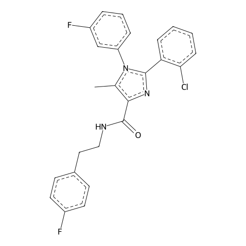 Cc1c(C(=O)NCCc2ccc(F)cc2)nc(-c2ccccc2Cl)n1-c1cccc(F)c1